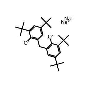 CC(C)(C)c1cc(Cc2cc(C(C)(C)C)cc(C(C)(C)C)c2[O-])c([O-])c(C(C)(C)C)c1.[Na+].[Na+]